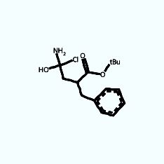 CC(C)(C)OC(=O)C(Cc1ccccc1)CC(N)(O)Cl